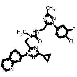 Cc1nc(CNC(=O)N(C)Cc2nc(C3CC3)nn2-c2ccc3cccnc3c2)n(-c2ccc(Cl)c(F)c2)n1